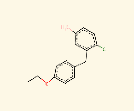 Bc1ccc(Cl)c(Cc2ccc(OCC)cc2)c1